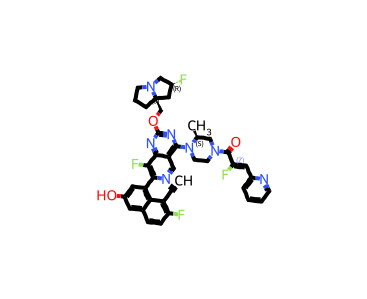 C#Cc1c(F)ccc2cc(O)cc(-c3ncc4c(N5CCN(C(=O)/C(F)=C/c6ccccn6)C[C@@H]5C)nc(OC[C@@]56CCCN5C[C@H](F)C6)nc4c3F)c12